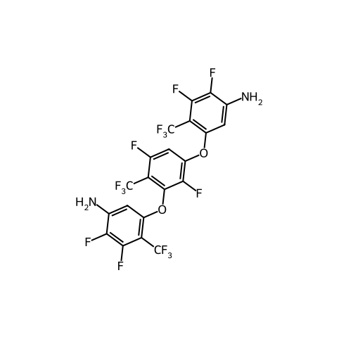 Nc1cc(Oc2cc(F)c(C(F)(F)F)c(Oc3cc(N)c(F)c(F)c3C(F)(F)F)c2F)c(C(F)(F)F)c(F)c1F